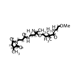 COCCNC(=O)C(C)(C)CCOC(C)(N)CCNC(=O)CCN1C(=O)CC(C)C1=O